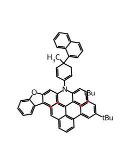 CC(C)(C)c1cc(-c2cccc3cccc(-c4ccccc4N(C4=CCC(C)(c5cccc6ccccc56)C=C4)c4ccc5c(c4)oc4ccccc45)c23)cc(C(C)(C)C)c1